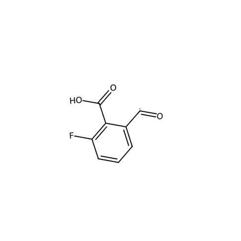 O=[C]c1cccc(F)c1C(=O)O